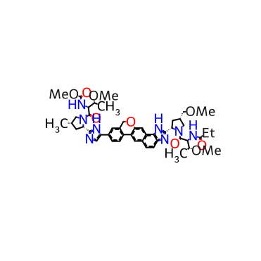 CCC(=O)N[C@H](C(=O)N1C[C@@H](COC)C[C@H]1c1nc2ccc3cc4c(cc3c2[nH]1)OCc1cc(-c2cnc([C@@H]3C[C@H](C)CN3C(=O)[C@@H](NC(=O)OC)[C@@H](C)OC)[nH]2)ccc1-4)[C@@H](C)OC